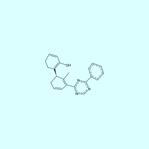 CC1=C(c2ncnc(-c3ccccc3)n2)C=CC[C@H]1C1=C(O)C=CCC1